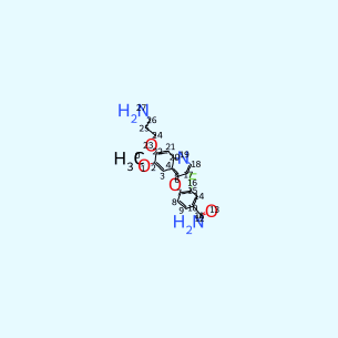 COc1cc2c(Oc3ccc(C(N)=O)cc3F)ccnc2cc1OCCCN